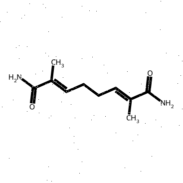 C/C(=C\CC/C=C(\C)C(N)=O)C(N)=O